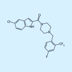 O=C(c1cc2cc(Cl)ccc2[nH]1)N1CCN(Cc2ccc(F)cc2C(F)(F)F)CC1